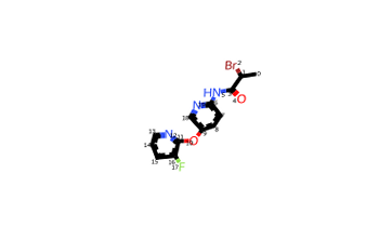 CC(Br)C(=O)Nc1ccc(Oc2ncccc2F)cn1